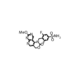 COc1ncc2c3c(cnc2n1)COC(=O)N3Cc1c(F)cc(S(N)(=O)=O)cc1F